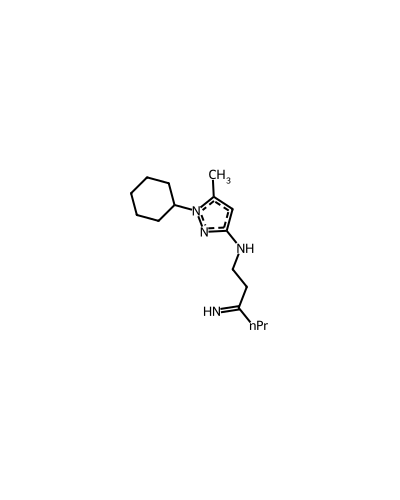 CCCC(=N)CCNc1cc(C)n(C2CCCCC2)n1